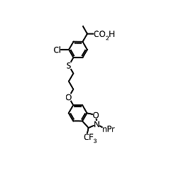 CCCN1Oc2cc(OCCCSc3ccc(C(C)C(=O)O)cc3Cl)ccc2C1C(F)(F)F